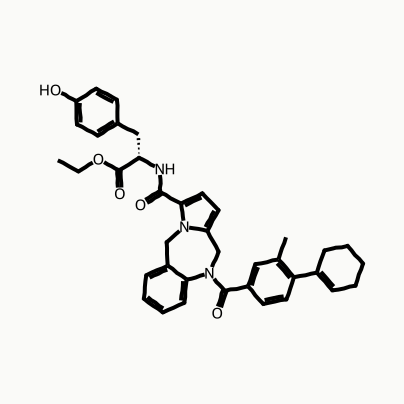 CCOC(=O)[C@H](Cc1ccc(O)cc1)NC(=O)c1ccc2n1Cc1ccccc1N(C(=O)c1ccc(C3=CCCCC3)c(C)c1)C2